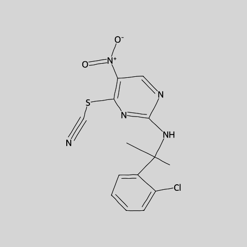 CC(C)(Nc1ncc([N+](=O)[O-])c(SC#N)n1)c1ccccc1Cl